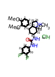 COc1ccc([C@@]23CC[C@@H](NC(=O)Nc4ccc(F)c(F)c4)C[C@@H]2N(C)CC3)cc1OC.Cl